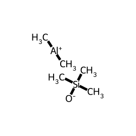 C[Si](C)(C)[O-].[CH3][Al+][CH3]